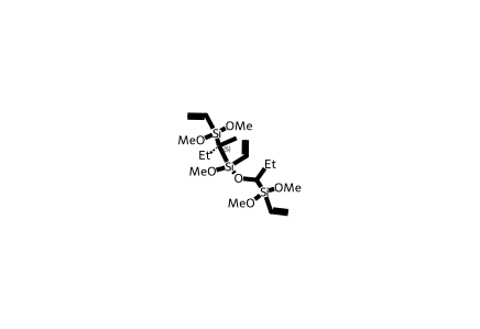 C=C[Si](OC)(OC)C(CC)O[Si](C=C)(OC)[C@@](C)(CC)[Si](C=C)(OC)OC